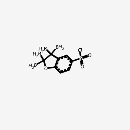 BC1(B)Oc2ccc(S(=O)(=O)Cl)cc2C1(B)B